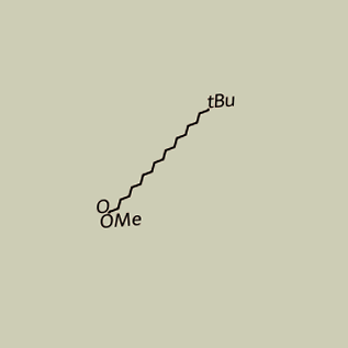 COC(=O)CCCCCCCCCCCCCCCCCC(C)(C)C